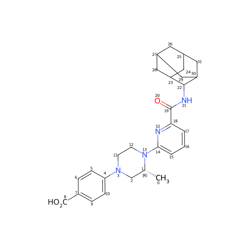 C[C@@H]1CN(c2ccc(C(=O)O)cc2)CCN1c1cccc(C(=O)NC2C3CC4CC(C3)CC2C4)n1